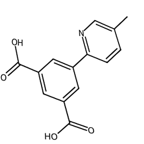 Cc1ccc(-c2cc(C(=O)O)cc(C(=O)O)c2)nc1